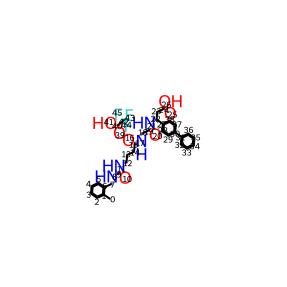 Cc1ccccc1CNC(=O)NCCCC(=O)NCC(=O)NC(CC(=O)O)c1ccc(-c2ccccc2)cc1.O=C(O)C(F)(F)F